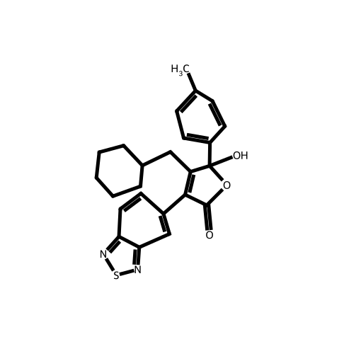 Cc1ccc(C2(O)OC(=O)C(c3ccc4nsnc4c3)=C2CC2CCCCC2)cc1